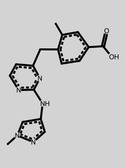 Cc1cc(C(=O)O)ccc1Cc1ccnc(Nc2cnn(C)c2)n1